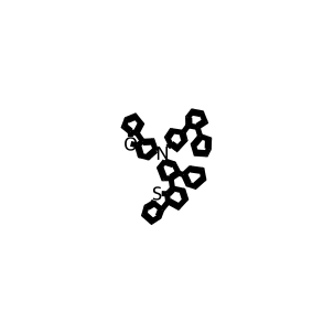 c1ccc(-c2ccccc2-c2ccc(N(c3ccc(-c4cccc5c4sc4ccccc45)c(-c4ccccc4)c3)c3ccc4oc5ccccc5c4c3)cc2)cc1